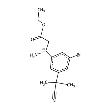 CCOC(=O)C[C@@H](N)c1cc(Br)cc(C(C)(C)C#N)c1